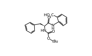 CC(C)(C)OC(=O)N[C@@H](Cc1ccccc1)C(=O)Nc1ccccc1C(=O)O